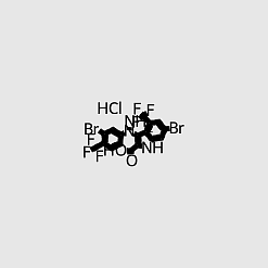 Cl.NN(c1ccc(C(F)(F)F)c(Br)c1)c1c(C(=O)O)[nH]c2cc(Br)cc(C(F)(F)F)c12